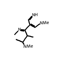 C/N=C(/C(C=N)=C/NC)C(C)C(C)NC